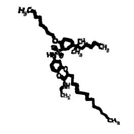 [CH2]CNC(=O)C(CCCCCCCCCCCC)Oc1cccc(NS(=O)(=O)c2cc(C(C)(C)CCCCC)ccc2OCCCCCCCC)c1